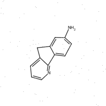 Nc1ccc2c(c1)Cc1cccnc1-2